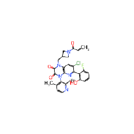 C=CC(=O)N1CC(Cn2c(=O)c(=O)n(-c3c(C)ccnc3C(C)C)c3nc(-c4c(O)cccc4F)c(Cl)cc32)C1